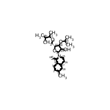 Cc1ccc2c(=S)n([C@@H]3O[C@H](COC(C)C(C)C)C(OC(C)C)C3O)ccc2c1